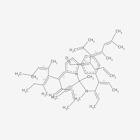 C=CCC(/C(C(=C)C)=C(\C)C=C(C)C)=c1/cc\c(=C(C(=C)/C=C\C)/C(C(/C)=C\C(C)C)=C(\C)CC)n1C(C)(C#CC)N(C)C(=C\C)/C(=C\C)c1cccc(C=O)c1